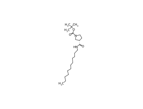 CCCCCCCCCCCCNC(=O)[C@H]1CCN(C(=O)OC(C)(C)C)C1